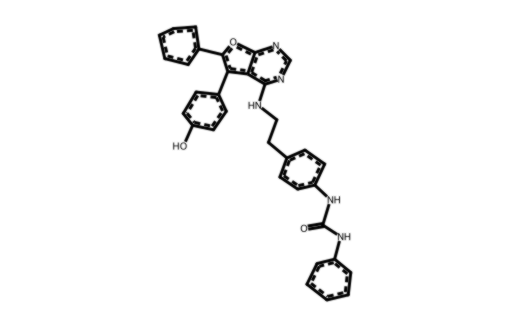 O=C(Nc1ccccc1)Nc1ccc(CCNc2ncnc3oc(-c4ccccc4)c(-c4ccc(O)cc4)c23)cc1